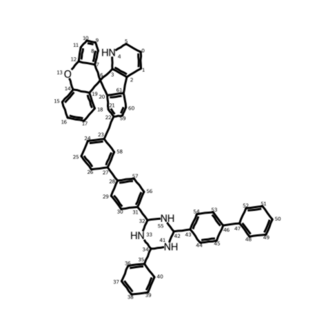 C1=CC2=C(NC1)C1(c3ccccc3Oc3ccccc31)c1cc(-c3cccc(-c4ccc(C5NC(c6ccccc6)NC(c6ccc(-c7ccccc7)cc6)N5)cc4)c3)ccc12